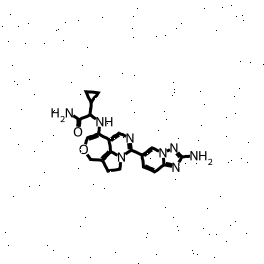 NC(=O)C(NC1=COCC2=C3C1=CN=C(c1ccc4nc(N)nn4c1)N3CC2)C1CC1